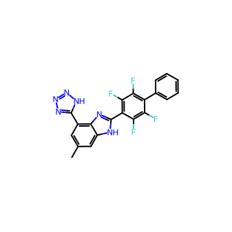 Cc1cc(-c2nnn[nH]2)c2nc(-c3c(F)c(F)c(-c4ccccc4)c(F)c3F)[nH]c2c1